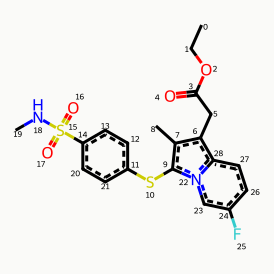 CCOC(=O)Cc1c(C)c(Sc2ccc(S(=O)(=O)NC)cc2)n2cc(F)ccc12